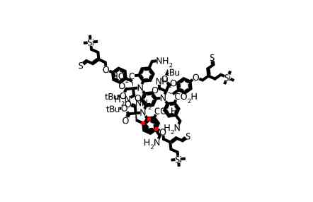 CC(C)(C)OC(=O)[C@](Cc1ccc(OCC(=CC=S)CC[Si](C)(C)C)cc1)(C(N)=O)N(c1cc(N(c2ccc(CN)cc2C(=O)O)[C@@](Cc2ccc(OCC(=CC=S)CC[Si](C)(C)C)cc2)(C(N)=O)C(=O)OC(C)(C)C)cc(N(c2ccc(CN)cc2C(=O)O)[C@@](Cc2ccc(OCC(=CC=S)CC[Si](C)(C)C)cc2)(C(N)=O)C(=O)OC(C)(C)C)c1)c1ccc(CN)cc1C(=O)O